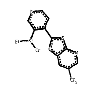 CC[S+]([O-])c1cnccc1-c1nc2cc(C(F)(F)F)cnc2s1